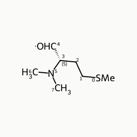 CSCC[C@@H]([C]=O)N(C)C